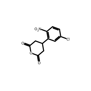 O=C1CC(c2cc(Cl)ccc2[N+](=O)[O-])CC(=O)O1